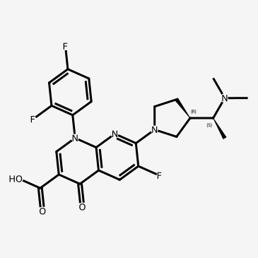 C[C@@H]([C@@H]1CCN(c2nc3c(cc2F)c(=O)c(C(=O)O)cn3-c2ccc(F)cc2F)C1)N(C)C